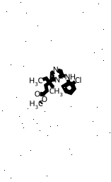 CCC(CC)(CCC(=O)OC)c1cncc(Nc2ccccc2Cl)n1